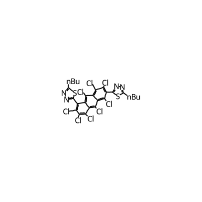 CCCCc1nnc(-c2c(Cl)c(Cl)c3c(Cl)c4c(-c5nnc(CCCC)s5)c(Cl)c(Cl)c(Cl)c4c(Cl)c3c2Cl)s1